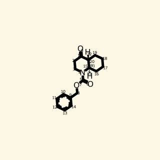 O=C1CCN(C(=O)OCc2ccccc2)[C@@H]2CCCC[C@@H]12